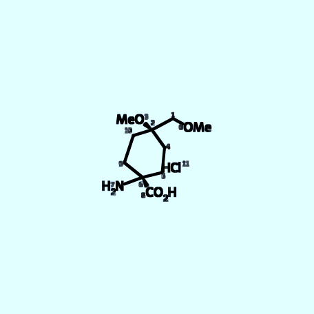 COC[C@]1(OC)CC[C@@](N)(C(=O)O)CC1.Cl